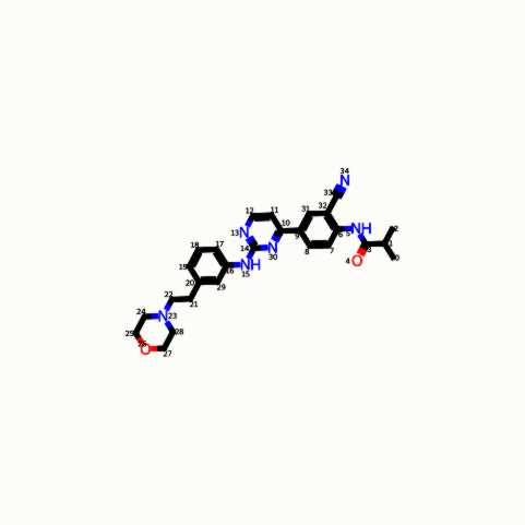 CC(C)C(=O)Nc1ccc(-c2ccnc(Nc3cccc(CCN4CCOCC4)c3)n2)cc1C#N